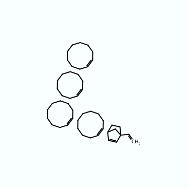 C1=CCCCCCCCC1.C1=CCCCCCCCC1.C1=CCCCCCCCC1.C1=CCCCCCCCC1.C=CC12C=CC(CC1)C2